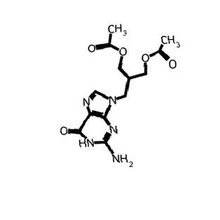 CC(=O)OCC(COC(C)=O)Cn1cnc2c(=O)[nH]c(N)nc21